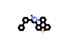 CN/C(=C\C(=N)c1ccc2sc3cccc4c5ccccc5c1c2c34)c1cccc(-c2ccccc2)c1